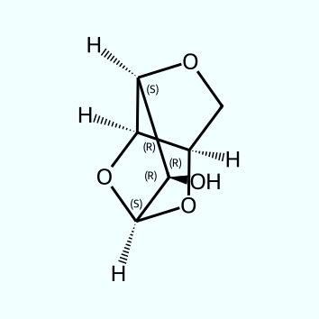 O[C@H]1[C@@H]2O[C@H]3[C@H]1OC[C@H]3O2